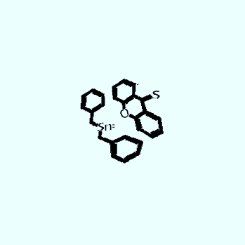 S=c1c2[c]cccc2oc2ccccc12.c1ccc([CH2][Sn][CH2]c2ccccc2)cc1